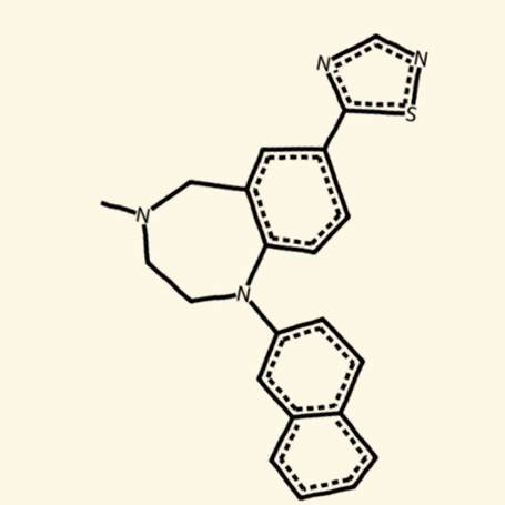 CN1CCN(c2ccc3ccccc3c2)c2ccc(-c3ncns3)cc2C1